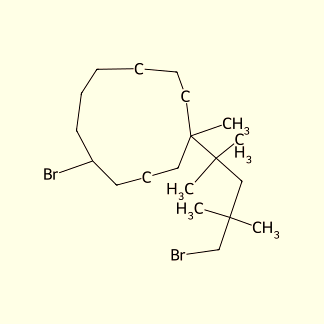 CC(C)(CBr)CC(C)(C)C1(C)CCCCCCC(Br)CCC1